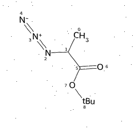 CC(N=[N+]=[N-])C(=O)OC(C)(C)C